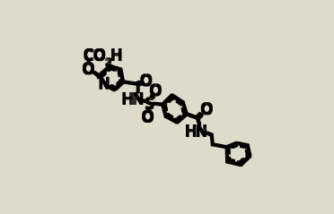 O=C(O)Oc1ccc(C(=O)NS(=O)(=O)c2ccc(C(=O)NCCc3ccccc3)cc2)cn1